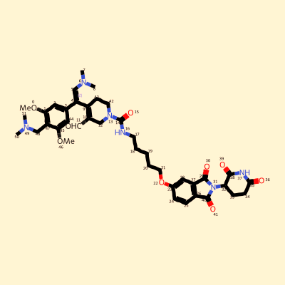 COc1cc(/C(=C/N(C)C)C2=C(C=O)CN(C(=O)NCCCCCOc3ccc4c(c3)C(=O)N(C3CCC(=O)NC3=O)C4=O)CC2)cc(OC)c1CN(C)C